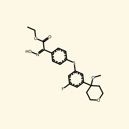 CCOC(=O)C(=NO)c1ccc(Sc2cc(F)cc(C3(OC)CCOCC3)c2)cc1